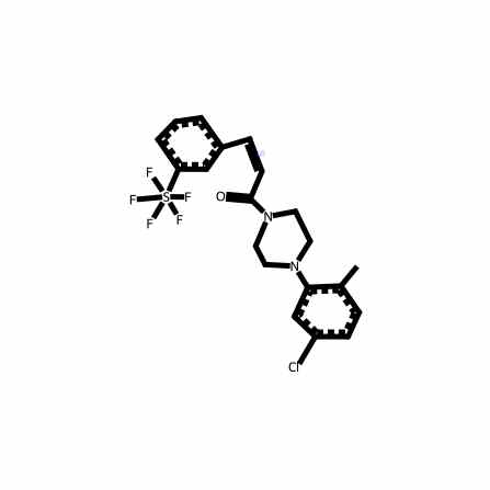 Cc1ccc(Cl)cc1N1CCN(C(=O)/C=C\c2cccc(S(F)(F)(F)(F)F)c2)CC1